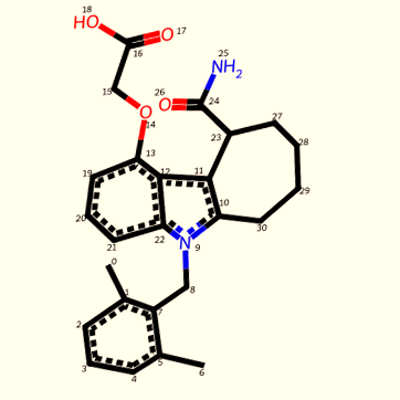 Cc1cccc(C)c1Cn1c2c(c3c(OCC(=O)O)cccc31)C(C(N)=O)CCCC2